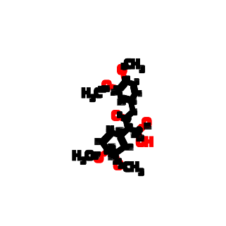 COc1ccc(CC(=O)C(C(=O)O)c2ccc(OC)c(OC)c2)cc1OC